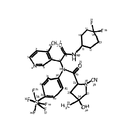 Cc1ccncc1C(C(=O)NC1CCC(F)(F)CC1)N(C(=O)C1CC(C)(O)CN1C#N)c1ccc(S(F)(F)(F)(F)F)cc1